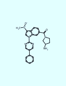 C[S+]([O-])c1cn(-c2ncc(-c3ccccc3)cn2)c2cc(C(=O)N3CCC(N)C3)ccc12